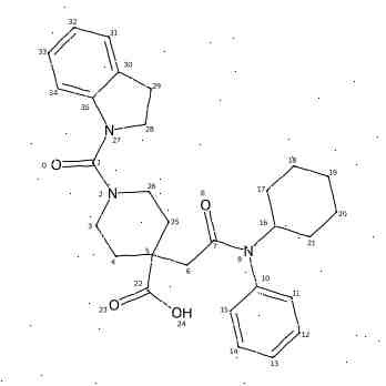 O=C(N1CCC(CC(=O)N(c2ccccc2)C2CCCCC2)(C(=O)O)CC1)N1CCc2ccccc21